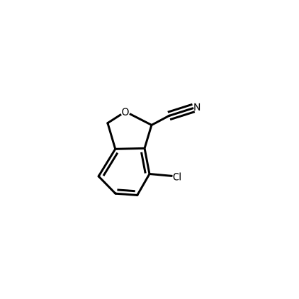 N#CC1OCc2cccc(Cl)c21